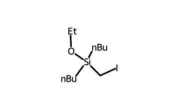 CCCC[Si](CI)(CCCC)OCC